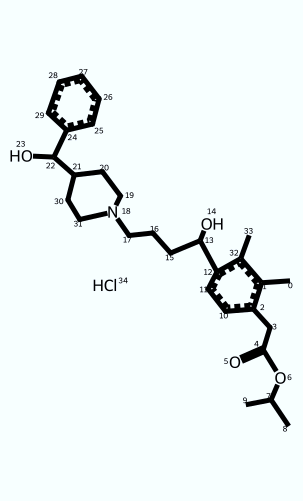 Cc1c(CC(=O)OC(C)C)ccc(C(O)CCCN2CCC(C(O)c3ccccc3)CC2)c1C.Cl